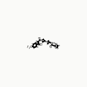 O=C(NC1CN(C2CN(C(=O)c3sc4cc(C(F)(F)F)ccc4c3Cl)C2)C1)c1nccs1